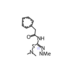 CN/N=C(/NC(=O)Cc1ccccc1)SN(C)C